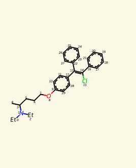 CCN(CC)C(C)CCCOc1ccc(C(=C(Cl)c2ccccc2)c2ccccc2)cc1